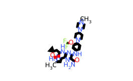 Cc1cc(-c2nc(C(N)=O)c(Nc3ccc(N4CCC(N5CCN(C)CC5)CC4)c(OC(F)F)c3)nc2NC2CCOC3(CC3)C2)n[nH]1